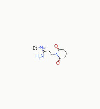 CC/N=C(\N)CCN1C(=O)CCCC1=O